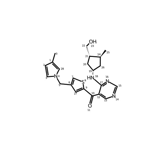 Cc1ccn(Cc2csc(C(=O)c3cncnc3N[C@@H]3C[C@H](CO)[C@@H](C)C3)c2)c1